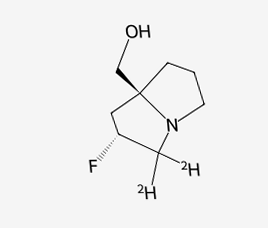 [2H]C1([2H])[C@H](F)C[C@]2(CO)CCCN12